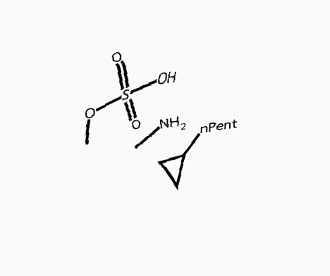 CCCCCC1CC1.CN.COS(=O)(=O)O